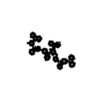 Cc1cc(-n2c3ccccc3c3ccccc32)cc(-n2c3ccccc3c3cc(-c4ccc5c(c4)c4ccccc4n5-c4cc(Cc5cccc(-n6c7ccccc7c7cc(-n8c9ccccc9c9ccccc98)ccc76)c5)cc(-n5c6ccccc6c6ccccc65)c4C)ccc32)c1